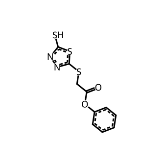 O=C(CSc1nnc(S)s1)Oc1ccccc1